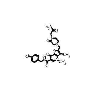 Cc1c(CN2CCN(CC(N)=O)C(=O)C2)sc2c(=O)c(C(=O)NCc3ccc(Cl)cc3)cn(C)c12